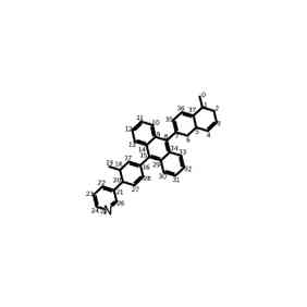 CC1CC=CC2CC(c3c4ccccc4c(C4=CC(C)C(c5cccnc5)C=C4)c4ccccc34)=CC=C12